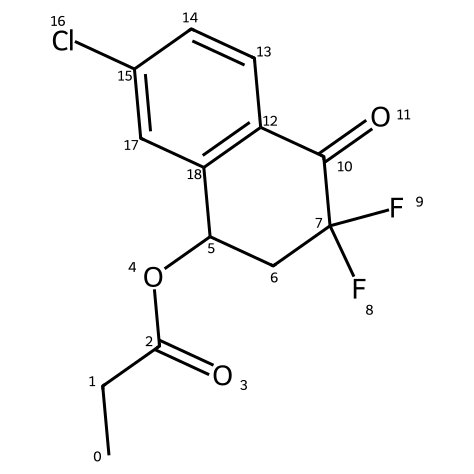 CCC(=O)OC1CC(F)(F)C(=O)c2ccc(Cl)cc21